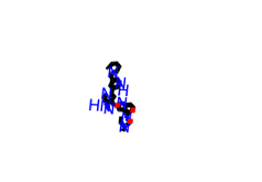 CN1CCN(c2cccc3[nH]c(-c4n[nH]c5cnc(-c6cncc(CN7CCCCC7)c6)cc45)cc23)CC1